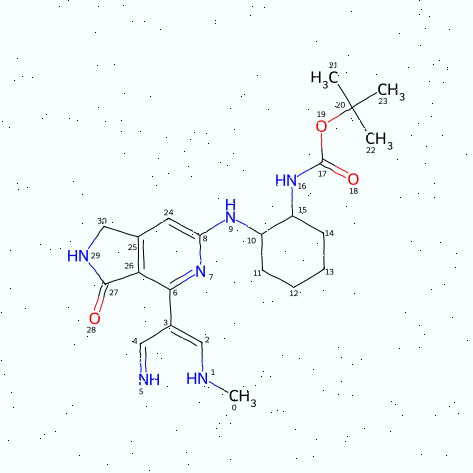 CN/C=C(\C=N)c1nc(NC2CCCCC2NC(=O)OC(C)(C)C)cc2c1C(=O)NC2